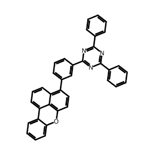 c1ccc(-c2nc(-c3ccccc3)nc(-c3cccc(-c4ccc5c6c(cccc46)-c4ccccc4O5)c3)n2)cc1